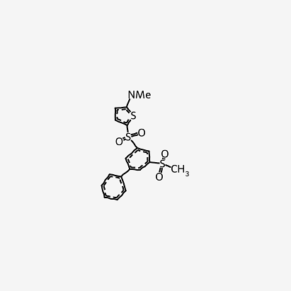 CNc1ccc(S(=O)(=O)c2cc(-c3ccccc3)cc(S(C)(=O)=O)c2)s1